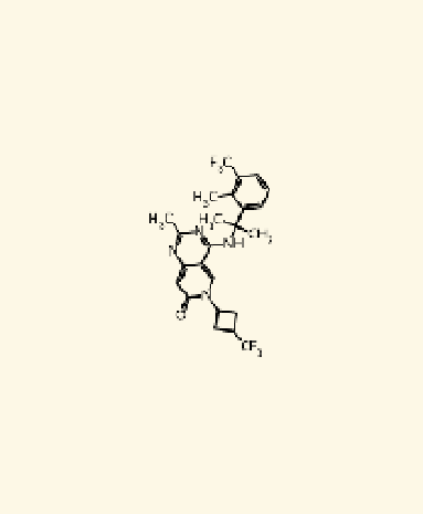 Cc1nc(NC(C)(C)c2cccc(C(F)(F)F)c2C)c2cn(C3CC(C(F)(F)F)C3)c(=O)cc2n1